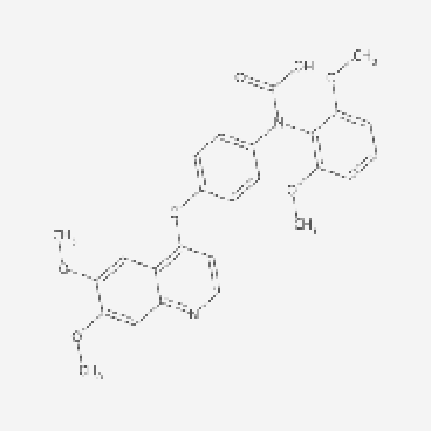 COc1cc2nccc(Oc3ccc(N(C(=O)O)c4c(OC)cccc4OC)cc3)c2cc1OC